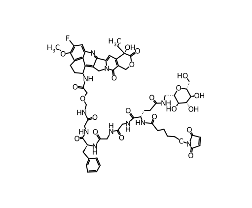 CC[C@@]1(O)C(=O)OCc2c1cc1n(c2=O)Cc2c-1nc1cc(F)c(OC)c3c1c2[C@@H](NC(=O)COCNC(=O)CNC(=O)[C@H](Cc1ccccc1)NC(=O)CNC(=O)CNC(=O)[C@H](CCC(=O)NC[C@@H]1O[C@H](CO)[C@@H](O)[C@H](O)[C@H]1O)NC(=O)CCCCCN1C(=O)C=CC1=O)CC3